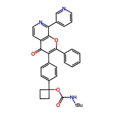 CC(C)(C)NC(=O)OC1(c2ccc(-c3c(-c4ccccc4)oc4c(-c5cccnc5)nccc4c3=O)cc2)CCC1